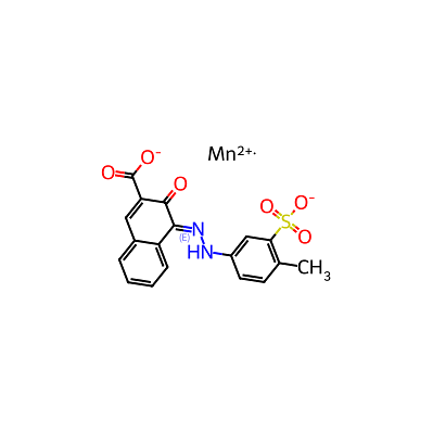 Cc1ccc(N/N=C2/C(=O)C(C(=O)[O-])=Cc3ccccc32)cc1S(=O)(=O)[O-].[Mn+2]